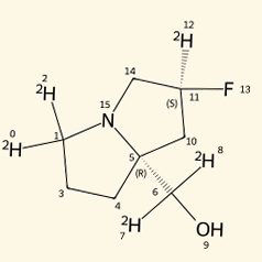 [2H]C1([2H])CC[C@]2(C([2H])([2H])O)C[C@]([2H])(F)CN12